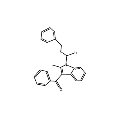 CCC(SCc1ccccc1)n1c(C)c(C(=O)c2ccccc2)c2ccccc21